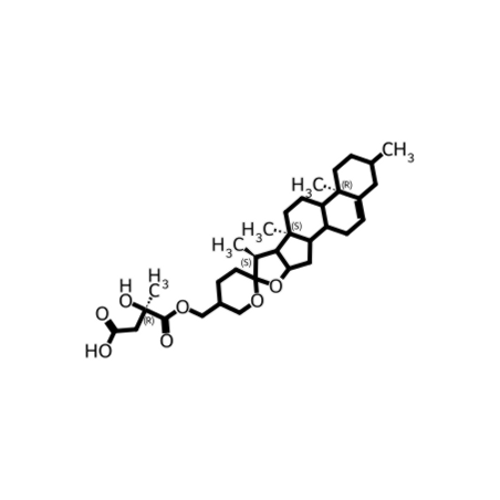 CC1CC[C@@]2(C)C(=CCC3C4CC5OC6(CCC(COC(=O)[C@](C)(O)CC(=O)O)CO6)[C@@H](C)C5[C@@]4(C)CCC32)C1